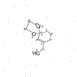 OCC1=CC2(CCC1)OCCO2